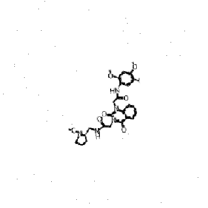 CCN1CCC[C@@H]1CNC(=O)Cn1c(=O)c2ccccc2n(CC(=O)Nc2cc(I)c(OC)cc2OC)c1=O